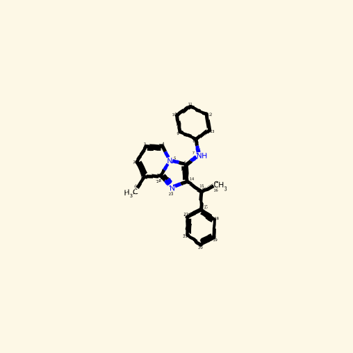 Cc1cccn2c(NC3CCCCC3)c(C(C)c3ccccc3)nc12